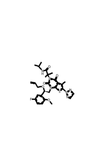 C=CCO[C@@H](Cn1c(=O)n(C(C)(C)C(=O)NC(C)C)c(=O)c2c(C)c(-n3nccn3)sc21)c1cc(F)ccc1OC